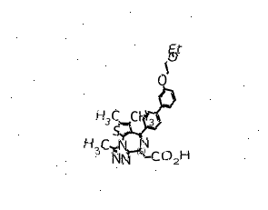 CCOCCOc1cccc(-c2ccc(C3=N[C@@H](CC(=O)O)c4nnc(C)n4-c4sc(C)c(C)c43)cc2)c1